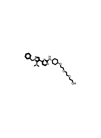 CN(C)c1c(-c2ccnc(N[C@H]3CC[C@H](OCCOCCOCCO)CC3)n2)cnn1Cc1ccccc1